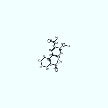 COc1cc2oc(=O)c3c(c2cc1C(C)=O)CCCC3